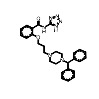 O=C(Nc1nnn[nH]1)c1ccccc1OCCCN1CCN(C(c2ccccc2)c2ccccc2)CC1